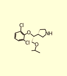 CC(C)OC[C@H](Oc1c(Cl)cccc1Cl)[C@@H]1CCNC1